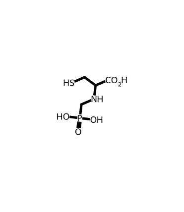 O=C(O)C(CS)NCP(=O)(O)O